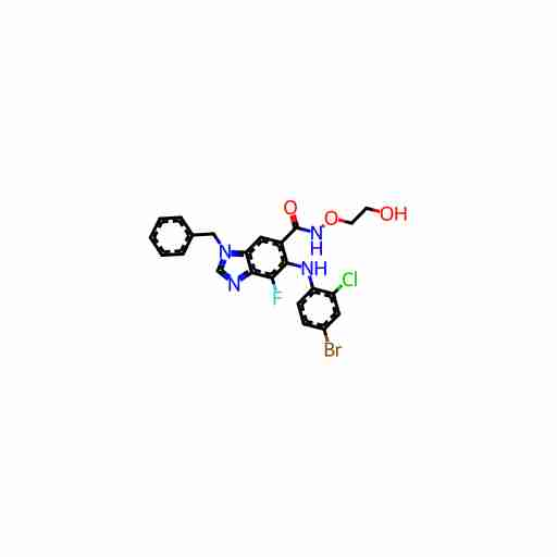 O=C(NOCCO)c1cc2c(ncn2Cc2ccccc2)c(F)c1Nc1ccc(Br)cc1Cl